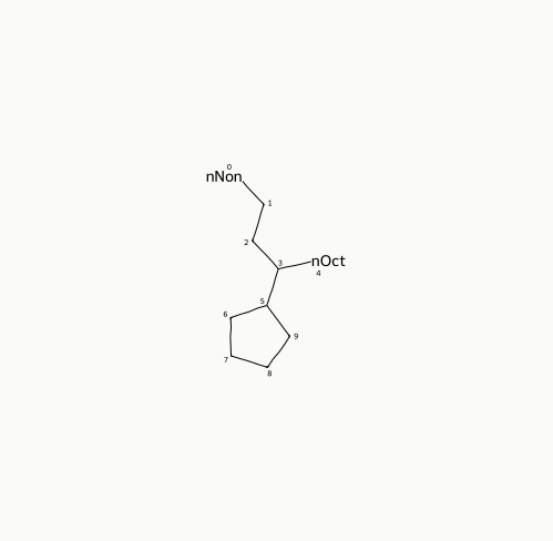 CCCCCCCCCCCC(CCCCCCCC)C1CCCC1